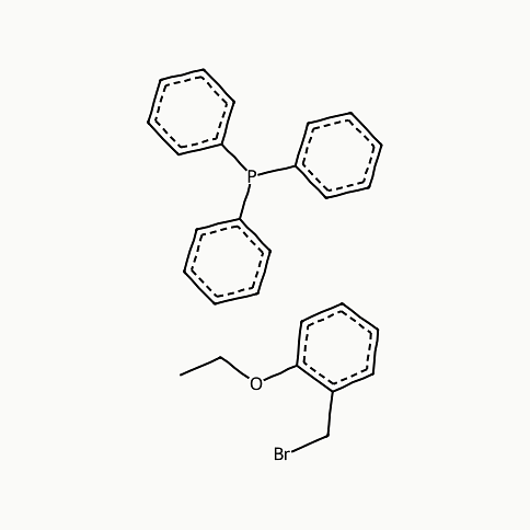 CCOc1ccccc1CBr.c1ccc(P(c2ccccc2)c2ccccc2)cc1